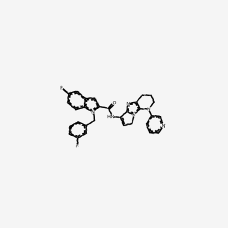 O=C(NC1=CCn2c1nc1c2N(c2cccnc2)CCC1)c1cc2cc(F)ccc2n1Cc1cccc(F)c1